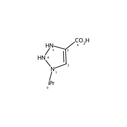 CC(C)N1C=C(C(=O)O)NN1